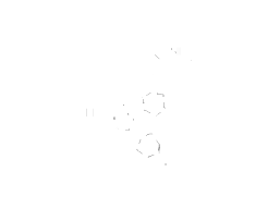 COc1cc(C(=O)N2c3cccc(OCC(N)=O)c3CC2(CC(C)C)C(=O)O)ccc1C(C)(C)C